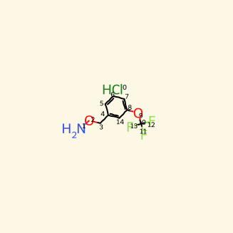 Cl.NOCc1cccc(OC(F)(F)F)c1